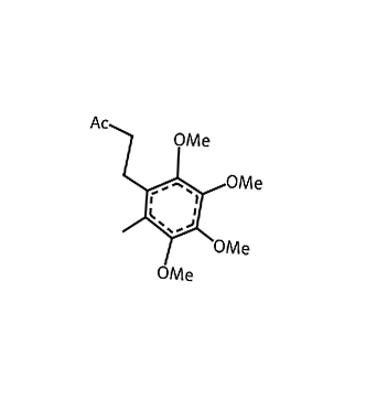 COc1c(C)c(CCC(C)=O)c(OC)c(OC)c1OC